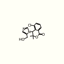 CC1(C)OC(=O)c2cccc(Cl)c2C1n1cncc1CO